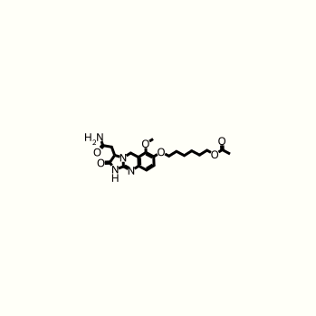 COc1c(OCCCCCCOC(C)=O)ccc2c1CN1C(=N2)NC(=O)C1CC(N)=O